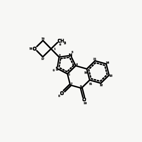 CC1(c2nc3c(s2)C(=O)C(=O)c2ccccc2-3)COC1